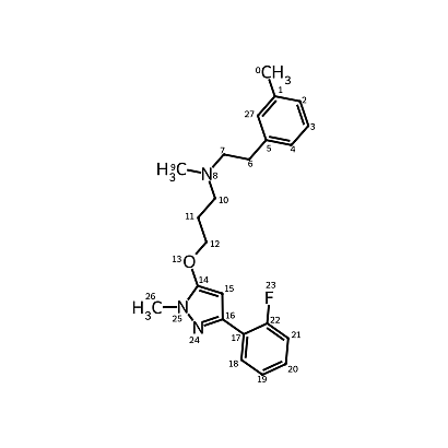 Cc1cccc(CCN(C)CCCOc2cc(-c3ccccc3F)nn2C)c1